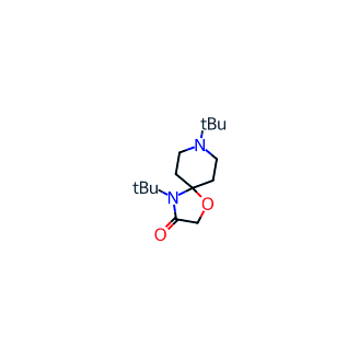 CC(C)(C)N1CCC2(CC1)OCC(=O)N2C(C)(C)C